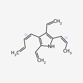 C=C/C=C\c1c(C=C)[nH]c(/C=C\C)c1C=C